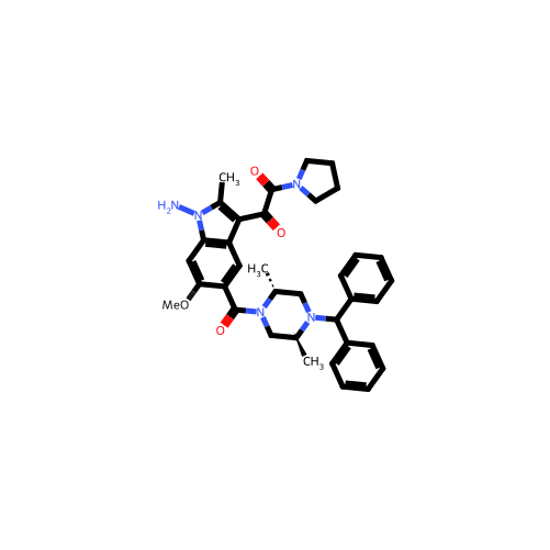 COc1cc2c(cc1C(=O)N1C[C@H](C)N(C(c3ccccc3)c3ccccc3)C[C@H]1C)c(C(=O)C(=O)N1CCCC1)c(C)n2N